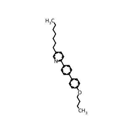 CCCCCCCc1ccc(-c2ccc(-c3ccc(OCCCC)cc3)cc2)nc1